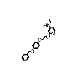 CCNc1ccnc(OCCOc2ccc(OCc3ccccc3)cc2)c1